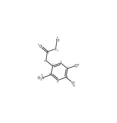 CCSC(=O)Cc1cc(Cl)c(Cl)cc1[N+](=O)[O-]